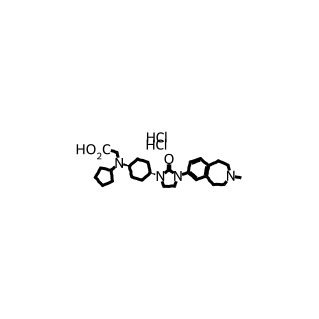 CN1CCc2ccc(N3CCN([C@H]4CC[C@H](N(CC(=O)O)C5CCCC5)CC4)C3=O)cc2CC1.Cl.Cl